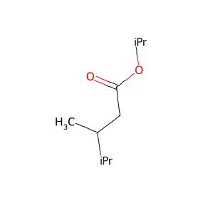 CC(C)OC(=O)CC(C)C(C)C